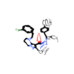 C[C@H](NC(=O)c1c(C(F)(F)F)nn2c1N(Cc1cccc(Cl)c1)CCC2)c1ccc(C(=O)O)cc1